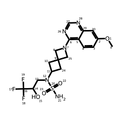 COc1ccc2c(N3CC4(CC(N(CC(O)C(F)(F)F)S(N)(=O)=O)C4)C3)ncnc2c1